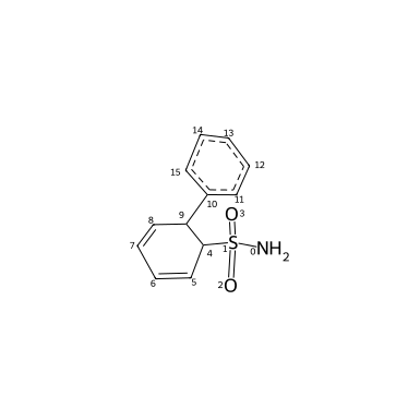 NS(=O)(=O)C1C=CC=CC1c1ccccc1